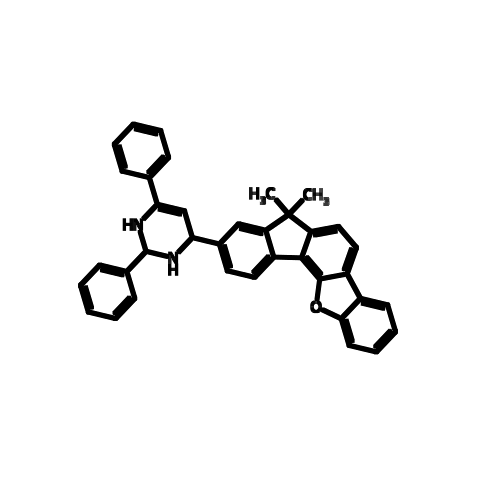 CC1(C)c2cc(C3C=C(c4ccccc4)NC(c4ccccc4)N3)ccc2-c2c1ccc1c2oc2ccccc21